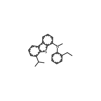 CCc1ccccc1N(C)c1cccc2c1sc1c(C(C)C)cccc12